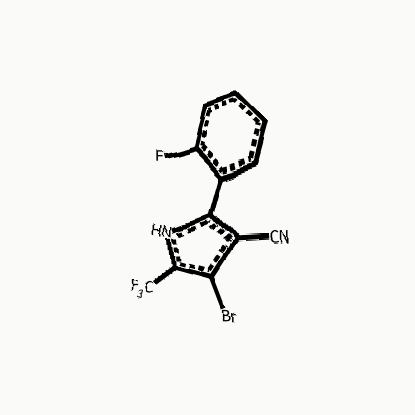 N#Cc1c(-c2ccccc2F)[nH]c(C(F)(F)F)c1Br